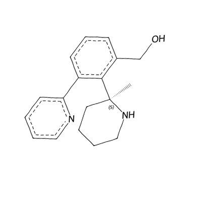 C[C@@]1(c2c(CO)cccc2-c2ccccn2)CCCCN1